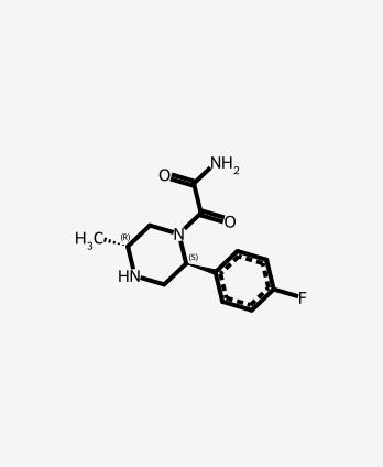 C[C@@H]1CN(C(=O)C(N)=O)[C@@H](c2ccc(F)cc2)CN1